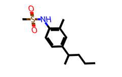 CCCC(C)c1ccc(NS(C)(=O)=O)c(C)c1